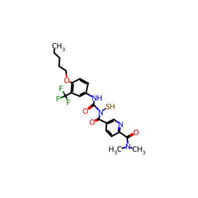 CCCCCOc1ccc(NC(=O)N(S)C(=O)c2ccc(C(=O)N(C)C)nc2)cc1C(F)(F)F